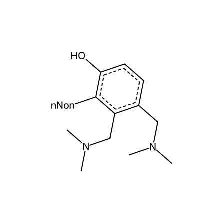 CCCCCCCCCc1c(O)ccc(CN(C)C)c1CN(C)C